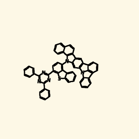 c1ccc(-c2nc(-c3ccccc3)nc(-c3ccc(-n4c5cc6c(cc5c5ccc7ccccc7c54)c4cccc5c7ccccc7n6c54)c4c3sc3ccccc34)n2)cc1